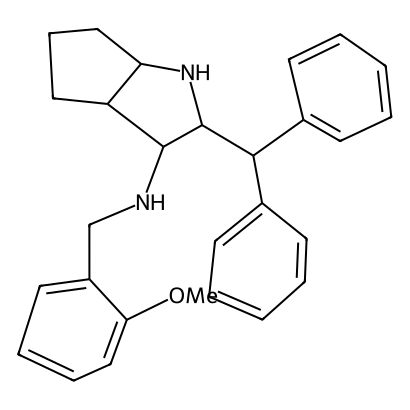 COc1ccccc1CNC1C2CCCC2NC1C(c1ccccc1)c1ccccc1